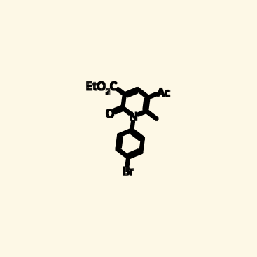 CCOC(=O)c1cc(C(C)=O)c(C)n(-c2ccc(Br)cc2)c1=O